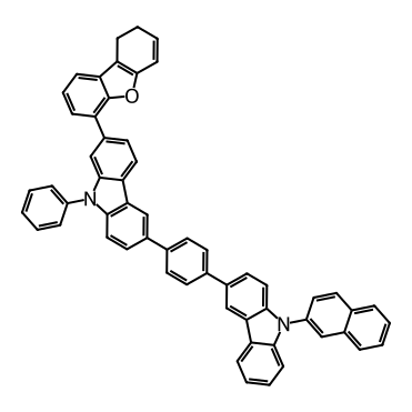 C1=Cc2oc3c(-c4ccc5c6cc(-c7ccc(-c8ccc9c(c8)c8ccccc8n9-c8ccc9ccccc9c8)cc7)ccc6n(-c6ccccc6)c5c4)cccc3c2CC1